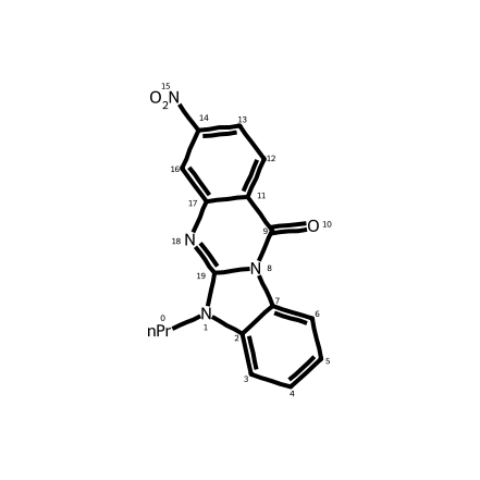 CCCn1c2ccccc2n2c(=O)c3ccc([N+](=O)[O-])cc3nc12